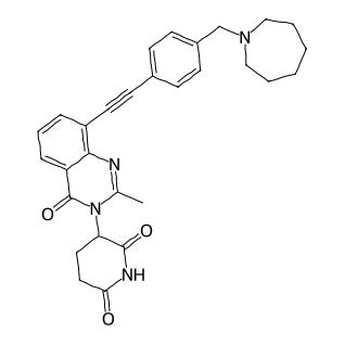 Cc1nc2c(C#Cc3ccc(CN4CCCCCC4)cc3)cccc2c(=O)n1C1CCC(=O)NC1=O